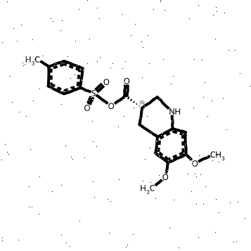 COc1cc2c(cc1OC)NC[C@@H](C(=O)OS(=O)(=O)c1ccc(C)cc1)C2